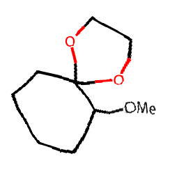 COC1CCCCC12OCCO2